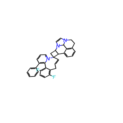 Fc1ccc(F)c2c1C/C=C/C1(CC3C1c1cccc4c1C1N(C=CN31)CC4)[n+]1cccc(-c3ccccc3)c1-2